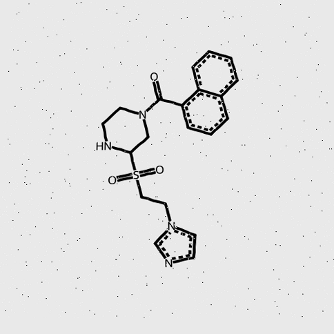 O=C(c1cccc2ccccc12)N1CCNC(S(=O)(=O)CCn2ccnc2)C1